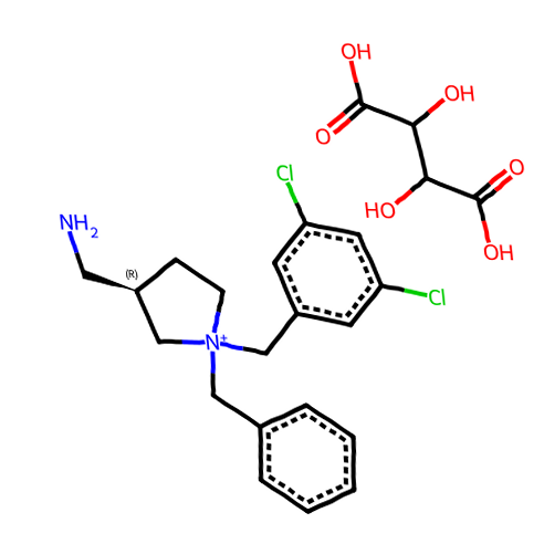 NC[C@H]1CC[N+](Cc2ccccc2)(Cc2cc(Cl)cc(Cl)c2)C1.O=C(O)C(O)C(O)C(=O)O